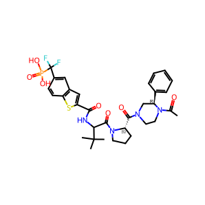 CC(=O)N1CCN(C(=O)[C@@H]2CCCN2C(=O)C(NC(=O)c2cc3cc(C(F)(F)P(=O)(O)O)ccc3s2)C(C)(C)C)C[C@H]1c1ccccc1